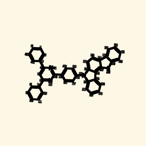 c1ccc(-c2cc(-c3ccccc3)nc(-c3ccc(-n4c5ccccc5c5c6sc7ccccc7c6ccc54)cc3)n2)cc1